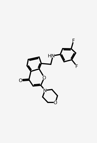 O=c1cc(N2CCOCC2)oc2c(CNc3cc(F)cc(F)c3)cccc12